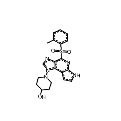 Cc1ccccc1S(=O)(=O)c1nc2[nH]ccc2c2c1ncn2N1CCC(O)CC1